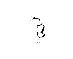 O=C1COc2cc3ccc(S)cc3nc2N1